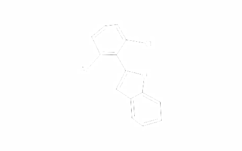 CC(=O)c1cccc(Cl)c1-c1cc2ccccc2o1